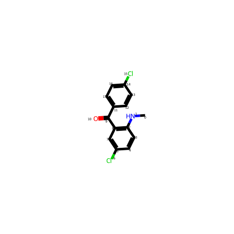 CNc1ccc(Cl)cc1C(=O)c1ccc(Cl)cc1